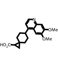 COc1cc2nccc(C3CCC4(CC3)CC4C(=O)O)c2cc1OC